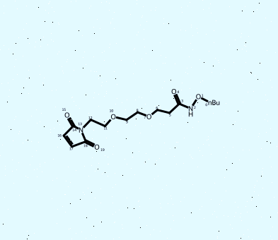 CCCCONC(=O)CCOCCOCCN1C(=O)C=CC1=O